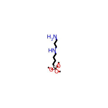 CO[Si](CCCCNCCCN)(OC)OC